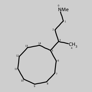 CNCCC(C)C1CCCCCCCCC1